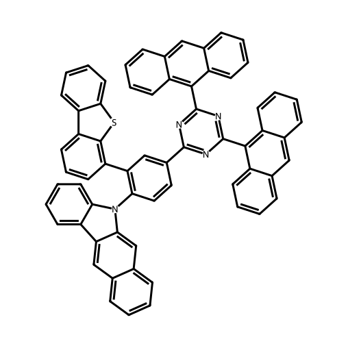 c1ccc2cc3c(cc2c1)c1ccccc1n3-c1ccc(-c2nc(-c3c4ccccc4cc4ccccc34)nc(-c3c4ccccc4cc4ccccc34)n2)cc1-c1cccc2c1sc1ccccc12